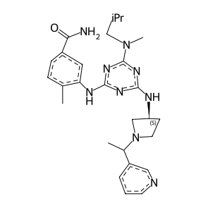 Cc1ccc(C(N)=O)cc1Nc1nc(N[C@H]2CCN(C(C)c3cccnc3)C2)nc(N(C)CC(C)C)n1